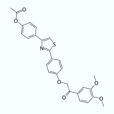 COc1ccc(C(=O)COc2ccc(-c3nc(-c4ccc(OC(C)=O)cc4)cs3)cc2)cc1OC